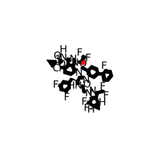 O=C(Cn1nc(C(F)F)c2c1C(F)(F)[C@@H]1C[C@H]21)N[C@@H](Cc1cc(F)cc(F)c1)c1nc2cc(-c3ccccc3F)ccc2c(=O)n1-c1ccc(Cl)c2c(NS(=O)(=O)C3CC3)nn(CC(F)F)c12